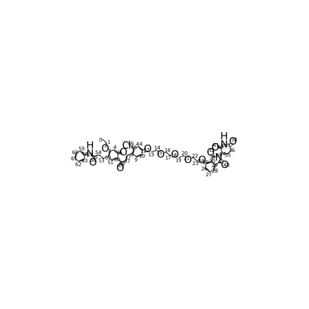 CCOc1cc2oc(-c3ccc(OCCOCCOCCOCCOc4cccc5c4C(=O)N(C4CCC(=O)NC4=O)C5=O)cc3Cl)cc(=O)c2cc1CCC(=O)Nc1ccccc1